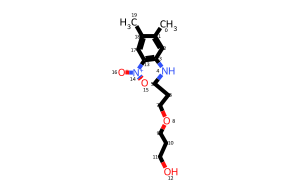 Cc1cc(NCCCOCCCO)c([N+](=O)[O-])cc1C